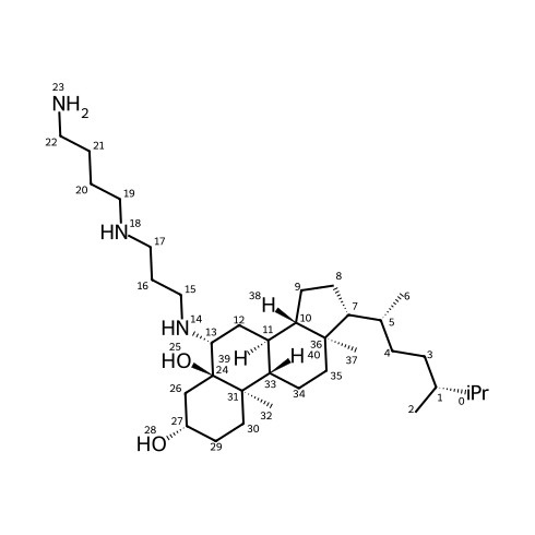 CC(C)[C@H](C)CC[C@@H](C)[C@H]1CC[C@H]2[C@@H]3C[C@@H](NCCCNCCCCN)[C@@]4(O)C[C@@H](O)CC[C@]4(C)[C@H]3CC[C@]12C